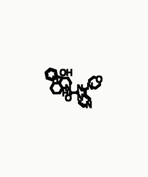 O=C(c1nc(N2CCOCC2)c2cnccn12)N1CC[C@](O)(c2ccccc2)[C@H]2CCCC[C@H]21